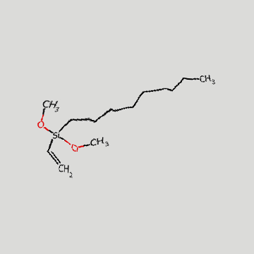 C=C[Si](CCCCCCCC)(OC)OC